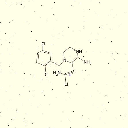 NC1=C(/C=C(\N)Cl)N(Cc2cc(Cl)ccc2Cl)CCN1